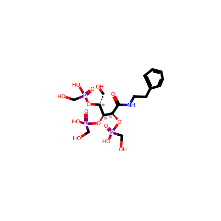 O=C(NCCc1ccccc1)[C@@H](OP(=O)(O)CO)[C@@H](OP(=O)(O)CO)[C@@H](CO)OP(=O)(O)CO